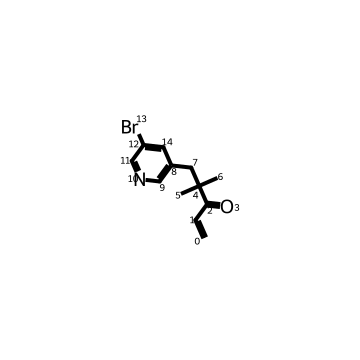 C=CC(=O)C(C)(C)Cc1cncc(Br)c1